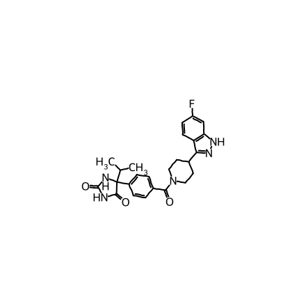 CC(C)C1(c2ccc(C(=O)N3CCC(c4n[nH]c5cc(F)ccc45)CC3)cc2)NC(=O)NC1=O